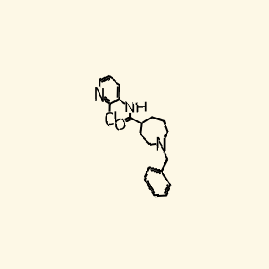 O=C(Nc1cccnc1Cl)C1CCCN(Cc2ccccc2)CC1